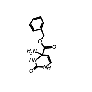 NC1(C(=O)OCc2ccccc2)C=CNC(=O)N1